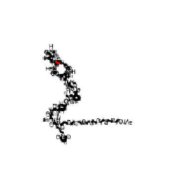 COCCOCCOCCOCCOCCOCCOCCOCCC(=O)N[C@@H](CCCCN1C(=O)C=CC1=O)C(=O)N[C@H](C(=O)N[C@@H](C)C(=O)Nc1ccc(COC(=O)N(C)Cc2ccccc2C(=O)Nc2ncnc3c2ncn3[C@@H]2O[C@@H]3CO[P@@](=O)(S)O[C@@H]4[C@H](O)C(CO[P@@](=O)(S)O[C@H]3[C@H]2F)O[C@H]4n2cc(F)c3c(=O)[nH]cnc32)cc1)C(C)C